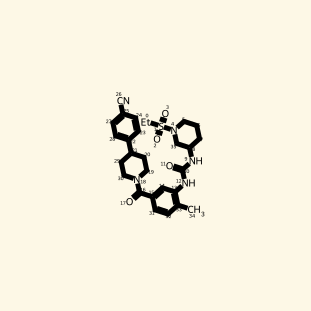 CCS(=O)(=O)N1CCCC(NC(=O)Nc2cc(C(=O)N3CCC(c4ccc(C#N)cc4)CC3)ccc2C)C1